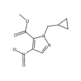 COC(=O)c1c([N+](=O)[O-])cnn1CC1CC1